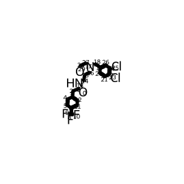 O=C(Cc1ccc(C(F)(F)F)cc1)NCC1CN(Cc2ccc(Cl)c(Cl)c2)CCO1